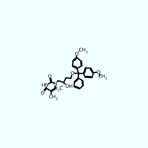 COc1ccc(C(OCC[C@@](C)(O)Cn2cc(C)c(=O)[nH]c2=O)(c2ccccc2)c2ccc(OC)cc2)cc1